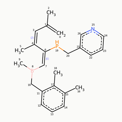 C=C(C)/C=C(C)\C(=C/B(C)Cc1cccc(C)c1C)PCc1cccnc1